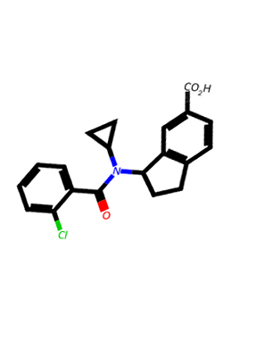 O=C(O)c1ccc2c(c1)C(N(C(=O)c1ccccc1Cl)C1CC1)CC2